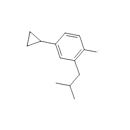 CC(C)Cc1cc(C2CC2)ccc1F